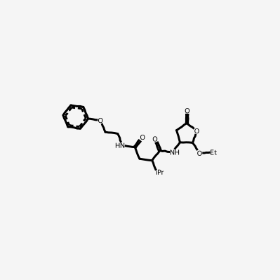 CCOC1OC(=O)CC1NC(=O)C(CC(=O)NCCOc1ccccc1)C(C)C